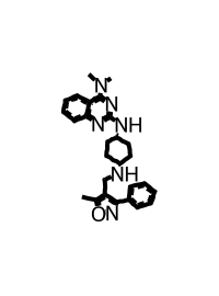 Cc1onc(-c2ccccc2)c1CN[C@H]1CC[C@@H](Nc2nc(N(C)C)c3ccccc3n2)CC1